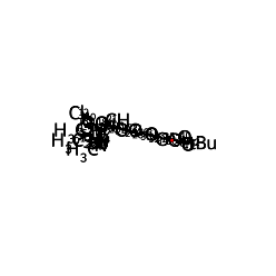 Cc1sc2c(c1C)C(c1ccc(Cl)cc1)=N[C@@H](CC(=O)N(C)CCOCCOCCCOCCOCCOCC(=O)OC(C)(C)C)c1nnc(C)n1-2